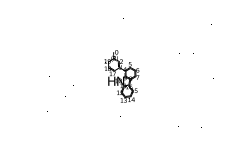 C[C@H]1C=C(c2cccc3c2[nH]c2ccccc23)C=CC1